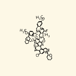 COc1ccc(CN(Cc2ccc(OC)cc2)c2ncc(F)cc2[C@@H](C)N2c3nc(OC[C@@]45CCCN4C[C@H](F)C5)nc4c(F)c(-c5c(C6CC6F)c(Cl)cc6c5cnn6C5CCCCO5)nc(c34)OC[C@@H]2C)cc1